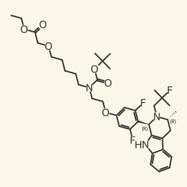 CCOC(=O)COCCCCCN(CCOc1cc(F)c([C@@H]2c3[nH]c4ccccc4c3C[C@@H](C)N2CC(C)(C)F)c(F)c1)C(=O)OC(C)(C)C